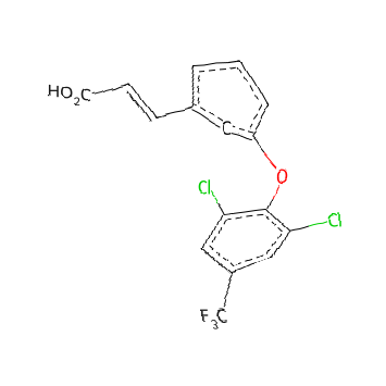 O=C(O)/C=C/c1cccc(Oc2c(Cl)cc(C(F)(F)F)cc2Cl)c1